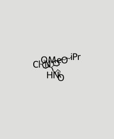 COc1nc(C(=C[C@H]2CCC(=O)N2)c2ccc(COCCC(C)C)cc2)ccc1Cl